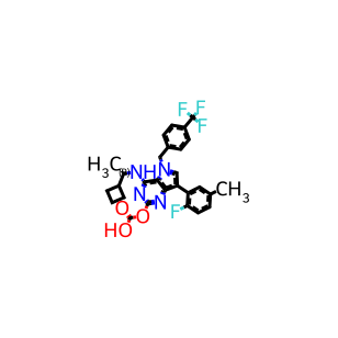 Cc1ccc(F)c(-c2cn(Cc3ccc(C(F)(F)F)cc3)c3c(N[C@H](C)C4CCC4)nc(OC(=O)O)nc23)c1